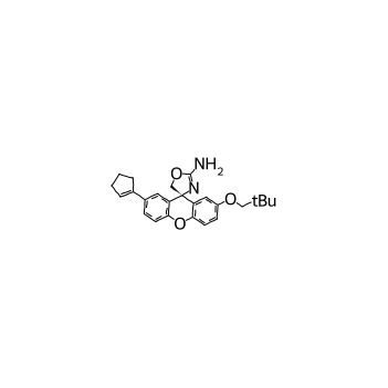 CC(C)(C)COc1ccc2c(c1)[C@]1(COC(N)=N1)c1cc(C3=CCCC3)ccc1O2